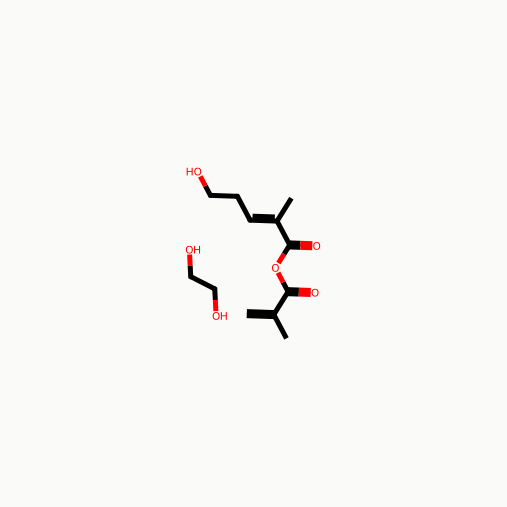 C=C(C)C(=O)OC(=O)C(C)=CCCO.OCCO